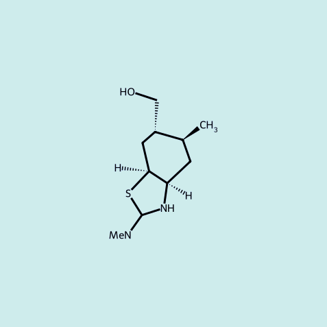 CNC1N[C@@H]2C[C@H](C)[C@@H](CO)C[C@@H]2S1